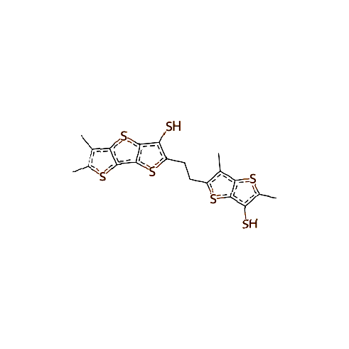 Cc1sc2c(C)c(CCc3sc4c(sc5c(C)c(C)sc54)c3S)sc2c1S